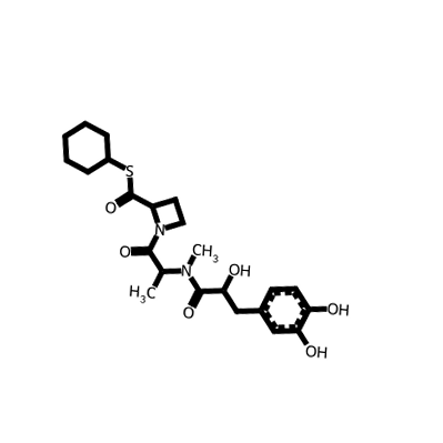 CC(C(=O)N1CCC1C(=O)SC1CCCCC1)N(C)C(=O)C(O)Cc1ccc(O)c(O)c1